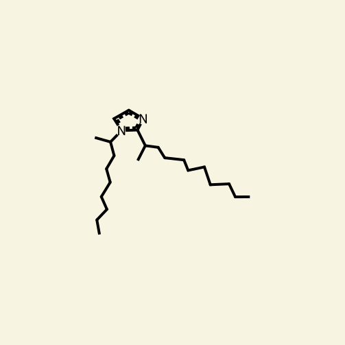 CCCCCCCCCC(C)c1nccn1C(C)CCCCCCC